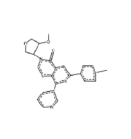 Cc1ccc(-c2cc3c(=O)n(C4COCC4OI)cnc3c(-c3cccnc3)n2)cc1